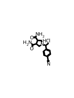 CC(c1ccc(C#N)cc1)N1CC(C(N)=O)C(C(N)=O)C1.Cl